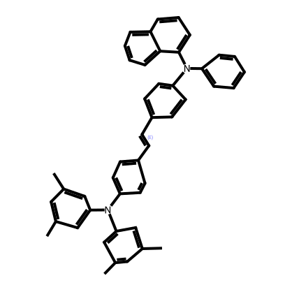 Cc1cc(C)cc(N(c2ccc(/C=C/c3ccc(N(c4ccccc4)c4cccc5ccccc45)cc3)cc2)c2cc(C)cc(C)c2)c1